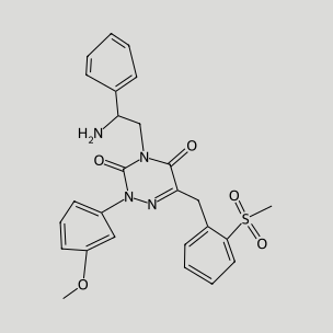 COc1cccc(-n2nc(Cc3ccccc3S(C)(=O)=O)c(=O)n(CC(N)c3ccccc3)c2=O)c1